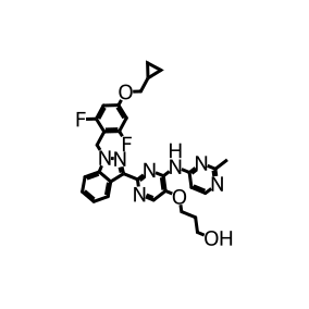 Cc1nccc(Nc2nc(-c3nn(Cc4c(F)cc(OCC5CC5)cc4F)c4ccccc34)ncc2OCCCO)n1